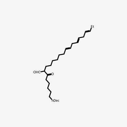 CCC=CCC=CCC=CCCCCCCC([C]=O)C(=O)CCCCCCCCCCCCCCC